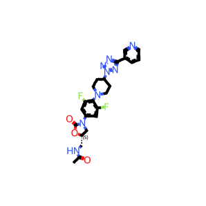 CC(=O)NC[C@H]1CN(c2cc(F)c(N3CCC(n4nnc(-c5cccnc5)n4)CC3)c(F)c2)C(=O)O1